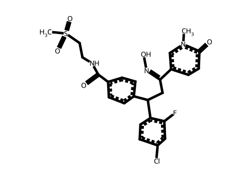 Cn1cc(C(CC(c2ccc(C(=O)NCCS(C)(=O)=O)cc2)c2ccc(Cl)cc2F)=NO)ccc1=O